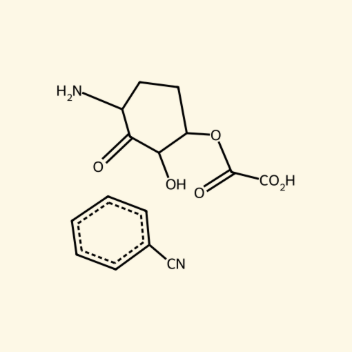 N#Cc1ccccc1.NC1CCC(OC(=O)C(=O)O)C(O)C1=O